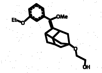 CCOc1cccc(C(OC)=C2C3CC4CC2CC(OCCO)(C4)C3)c1